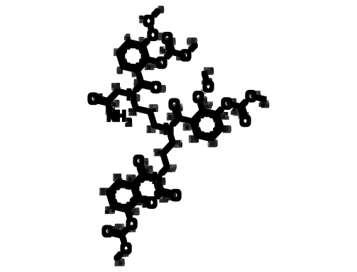 COOc1cccc(C(=O)N(CCCN(CCCn2c(=O)oc3c(OC(=O)OC)cccc3c2=O)C(=O)c2cccc(OC(=O)OC)c2OOC)CC(N)=O)c1OC(=O)OC